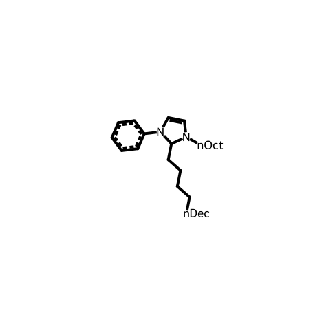 CCCCCCCCCCCCCCC1N(CCCCCCCC)C=CN1c1ccccc1